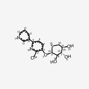 O[C@@H]1[C@@H](O)[C@@H](Oc2ccc(-c3cccnc3)nc2Cl)SC[C@H]1O